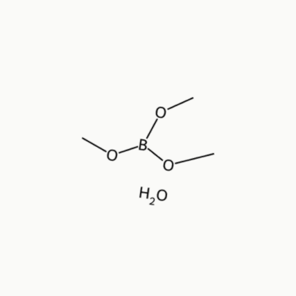 COB(OC)OC.O